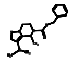 CC1c2c(N(C)C)cnn2CCN1C(=O)OCc1ccccc1